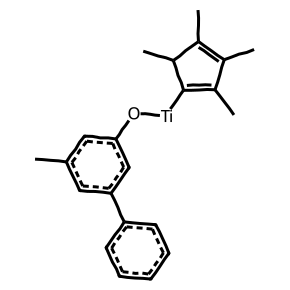 CC1=C(C)C(C)[C]([Ti][O]c2cc(C)cc(-c3ccccc3)c2)=C1C